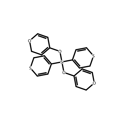 C1=CC(O[Si](OC2=CCOC=C2)(C2=CCSC=C2)C2=CCSC=C2)=CCO1